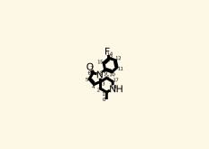 CC1CC2(C=CC(=O)N2c2cccc(F)c2)CCN1